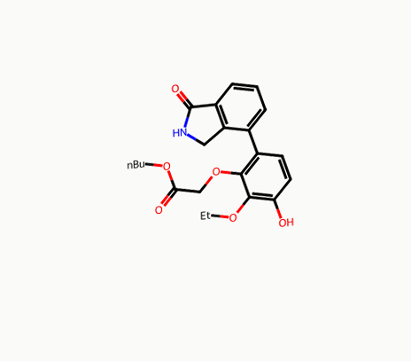 CCCCOC(=O)COc1c(-c2cccc3c2CNC3=O)ccc(O)c1OCC